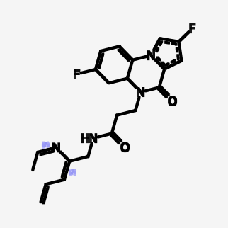 C=C/C=C(CNC(=O)CCN1C(=O)c2cc(F)cn2C2=CC=C(F)CC21)\N=C/C